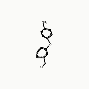 O=[N+]([O-])c1ccc(Oc2cccc(CCl)c2)cc1